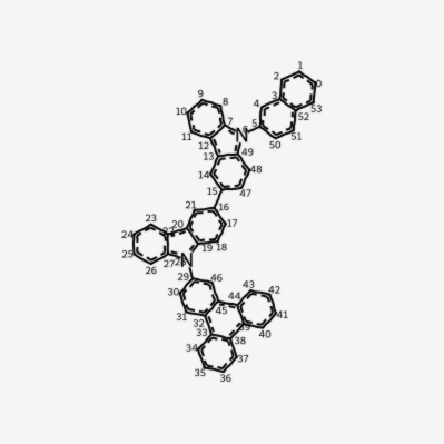 c1ccc2cc(-n3c4ccccc4c4cc(-c5ccc6c(c5)c5ccccc5n6-c5ccc6c7ccccc7c7ccccc7c6c5)ccc43)ccc2c1